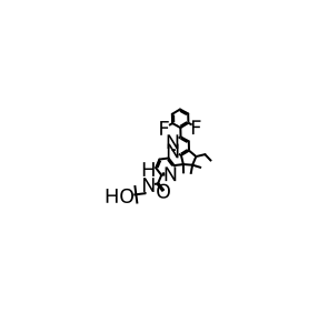 CCC1c2cc(-c3c(F)cccc3F)nnc2C(C)(c2cccc(C(=O)NCC(C)(C)O)n2)C1(C)C